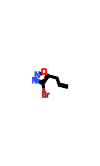 C=CCc1onnc1Br